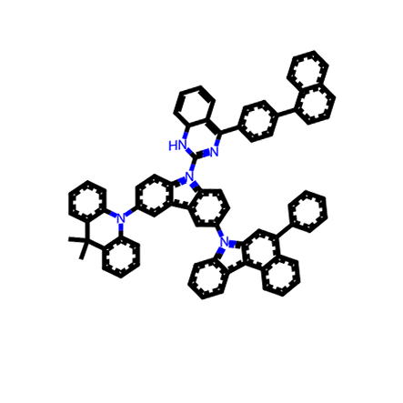 CC1(C)c2ccccc2N(c2ccc3c(c2)c2cc(-n4c5ccccc5c5c6ccccc6c(-c6ccccc6)cc54)ccc2n3C2=NC(c3ccc(-c4cccc5ccccc45)cc3)=C3C=CC=CC3N2)c2ccccc21